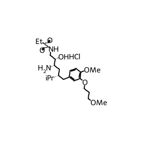 CCS(=O)(=O)NC[C@H](O)[C@@H](N)C[C@H](Cc1ccc(OC)c(OCCCOC)c1)C(C)C.Cl